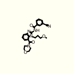 COCCCn1c(NC(=O)c2cccc(C#N)c2)nc2cccc(C(=O)N3CCOCC3)c21